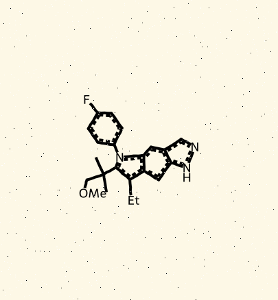 CCc1c(C(C)(C)COC)n(-c2ccc(F)cc2)c2cc3cn[nH]c3cc12